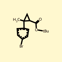 CC(C)(C)OC(=O)C1CC1(C)c1ccc(Br)cc1